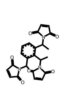 CC(c1cccc(C(C)N2C(=O)C=CC2=O)c1C(C)N1C(=O)C=CC1=O)N1C(=O)C=CC1=O